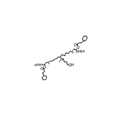 CCCCCCC(CSCCCCCC(CCCCCSCC(CCCCCC)OC(=O)CCC1CCCCC1)N(C)CCCCO)OC(=O)CCC1CCCCC1